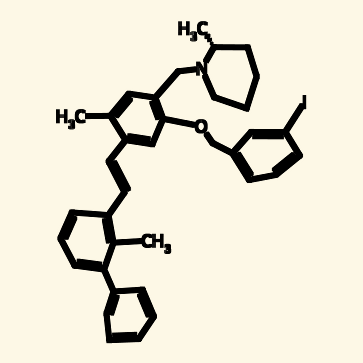 Cc1cc(CN2CCCC[C@H]2C)c(OCc2cccc(I)c2)cc1/C=C/c1cccc(-c2ccccc2)c1C